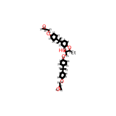 CCC(Oc1ccc(C(C)(C)c2ccc(OCC3CO3)cc2)cc1)C(O)COc1ccc(C(C)(C)c2ccc(OCC3CO3)cc2)cc1